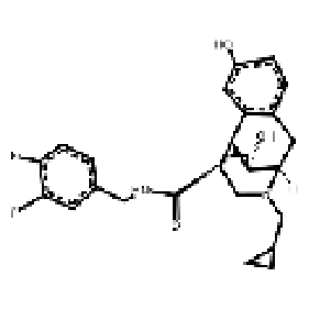 O=C(NCc1ccc(F)c(F)c1)[C@H]1C[C@]23CCN(CC4CC4)[C@H](Cc4ccc(O)cc42)[C@]3(O)C1